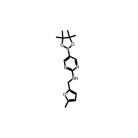 Cc1ccc(CNc2ncc(B3OC(C)(C)C(C)(C)O3)cn2)o1